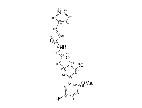 COc1ccc(F)cc1-c1cc(Cl)c2c(c1)CC(CNC(=O)C=Cc1cccnc1)O2